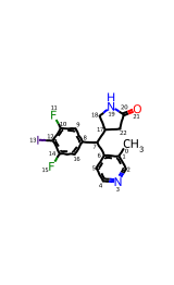 Cc1cnccc1C(c1cc(F)c(I)c(F)c1)C1CNC(=O)C1